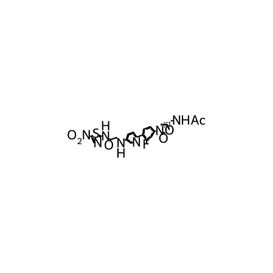 CC(=O)NC[C@H]1CN(c2ccc(-c3ccc(NCC(=O)Nc4ncc([N+](=O)[O-])s4)cn3)c(F)c2)C(=O)O1